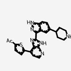 CC(=O)c1ccc(-c2ccnc3[nH]c(-c4n[nH]c5ccc(C6CCNCC6)cc45)nc23)s1